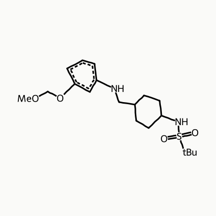 COCOc1cccc(NCC2CCC(NS(=O)(=O)C(C)(C)C)CC2)c1